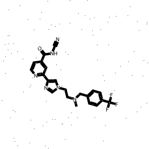 CN(CCn1cnc(-c2cc(C(=O)NC#N)ccn2)c1)Cc1ccc(C(F)(F)F)cc1